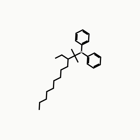 CCCCCCCCCC(CC)C(C)(C)N(c1ccccc1)c1ccccc1